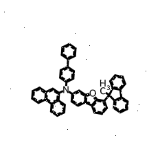 CC1(c2cccc3c2oc2cc(N(c4ccc(-c5ccccc5)cc4)c4cc5ccccc5c5ccccc45)ccc23)c2ccccc2-c2ccccc21